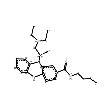 CCCCNC(=S)c1ccc2c(c1)N([C@H](C)CN(CC)CC)c1ccccc1S2